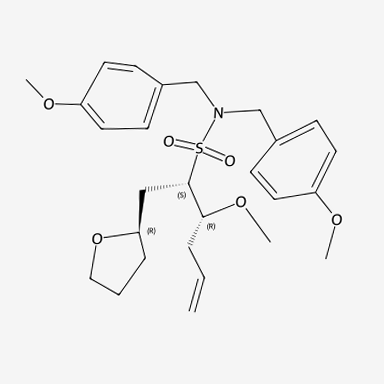 C=CC[C@@H](OC)[C@H](C[C@H]1CCCO1)S(=O)(=O)N(Cc1ccc(OC)cc1)Cc1ccc(OC)cc1